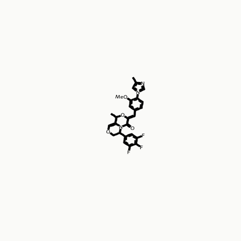 COc1cc(C=C2OC(C)C3=COCC(c4cc(F)c(F)c(F)c4)N3C2=O)ccc1-n1cnc(C)c1